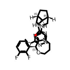 COc1cc(N2C[C@H]3CC[C@@H](C2)[C@@H]3Nc2nc3n(n2)CCCO[C@H]3c2cccc(F)c2F)cnn1